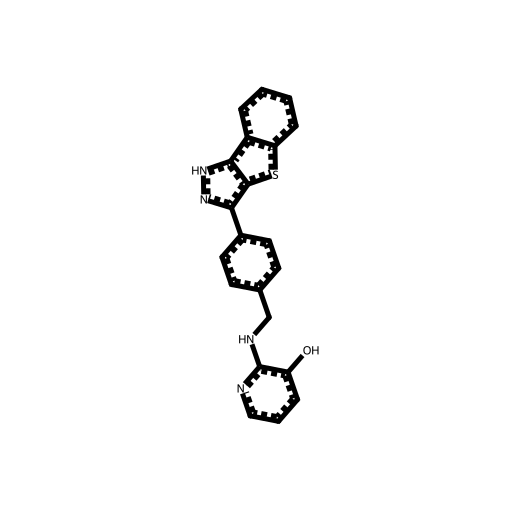 Oc1cccnc1NCc1ccc(-c2n[nH]c3c2sc2ccccc23)cc1